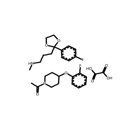 CC(=O)N1CCC(Oc2ccccc2F)CC1.CNCCCC1(c2ccc(F)cc2)OCCO1.O=C(O)C(=O)O